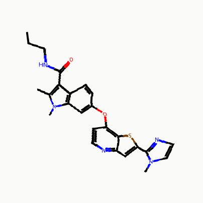 CCCNC(=O)c1c(C)n(C)c2cc(Oc3ccnc4cc(-c5nccn5C)sc34)ccc12